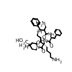 CC(C)CCC(=O)[C@@](CCCCN)(NC(=O)C(Cc1ccccc1)NC(=O)C(CN)Cc1ccccc1)C(=O)N1CCC(N)(C(=O)O)CC1